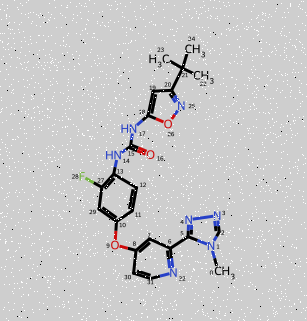 Cn1cnnc1-c1cc(Oc2ccc(NC(=O)Nc3cc(C(C)(C)C)no3)c(F)c2)ccn1